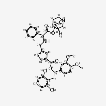 COc1ccc([C@H](Cc2c(Cl)cncc2Cl)OC(=O)c2csc(CNC(C(=O)O[C@H]3CN4CCC3CC4)c3ccccc3)c2)cc1OC